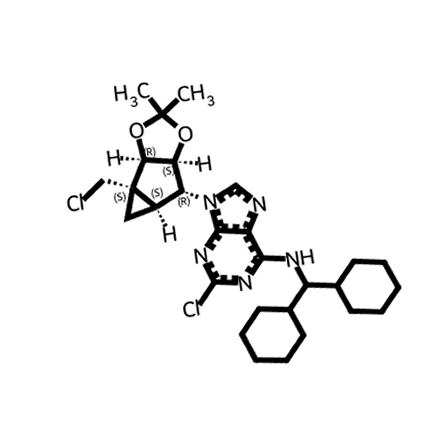 CC1(C)O[C@H]2[C@H](n3cnc4c(NC(C5CCCCC5)C5CCCCC5)nc(Cl)nc43)[C@H]3C[C@@]3(CCl)[C@H]2O1